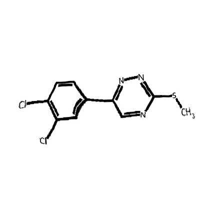 CSc1ncc(-c2ccc(Cl)c(Cl)c2)nn1